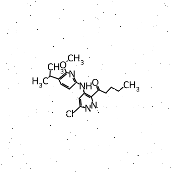 CCCCC(=O)c1nnc(Cl)cc1Nc1ccc(C(C)C)c(OC)n1